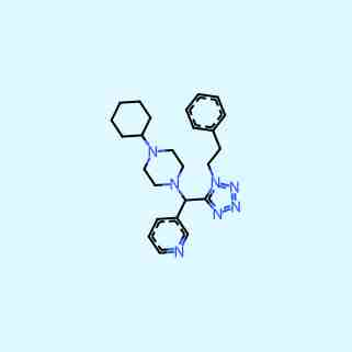 c1ccc(CCn2nnnc2C(c2cccnc2)N2CCN(C3CCCCC3)CC2)cc1